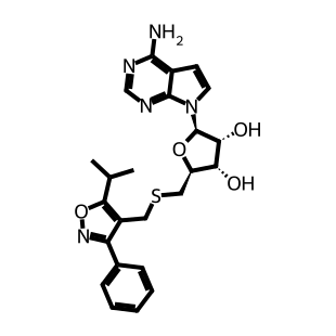 CC(C)c1onc(-c2ccccc2)c1CSC[C@H]1O[C@@H](n2ccc3c(N)ncnc32)[C@H](O)[C@@H]1O